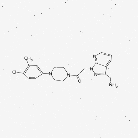 Cc1cc(N2CCN(C(=O)Cn3nc(CN)c4cccnc43)CC2)ccc1Cl